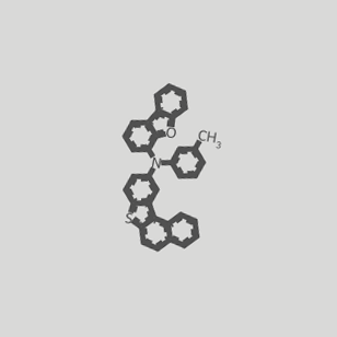 Cc1cccc(N(c2ccc3sc4ccc5ccccc5c4c3c2)c2cccc3c2oc2ccccc23)c1